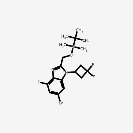 CC(C)(C)[Si](C)(C)OCc1nc2c(F)cc(Br)cc2n1C1CC(F)(F)C1